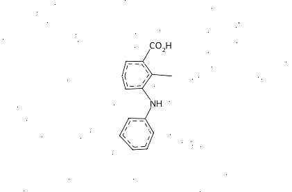 Cc1c(Nc2ccccc2)cccc1C(=O)O